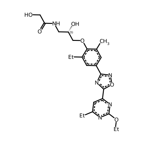 CCOc1nc(CC)cc(-c2nc(-c3cc(C)c(OC[C@@H](O)CNC(=O)CO)c(CC)c3)no2)n1